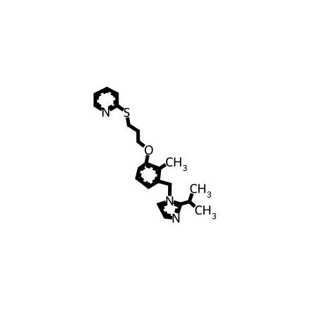 Cc1c(Cn2ccnc2C(C)C)cccc1OCCCSc1ccccn1